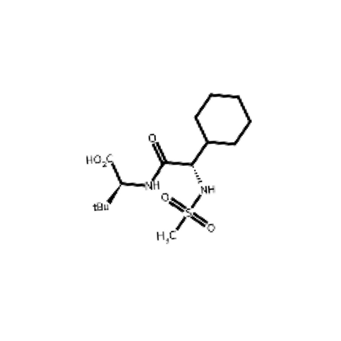 CC(C)(C)[C@H](NC(=O)[C@@H](NS(C)(=O)=O)C1CCCCC1)C(=O)O